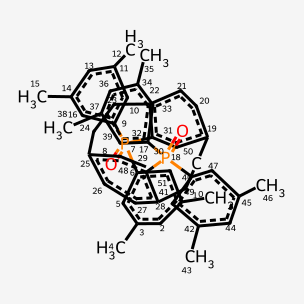 Cc1cc(C)cc(P(=O)(c2cc(C)cc(C)c2)c2cc3ccc2CCc2ccc(c(P(=O)(c4cc(C)cc(C)c4)c4cc(C)cc(C)c4)c2)CC3)c1